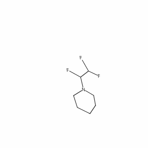 FC(F)C(F)N1CCCCC1